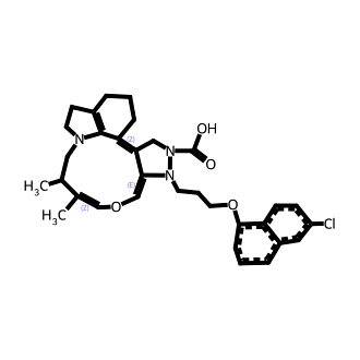 C/C1=C/O/C=C2\C(=C3\CCCC4=C3N(CC4)CC1C)CN(C(=O)O)N2CCCOc1cccc2cc(Cl)ccc12